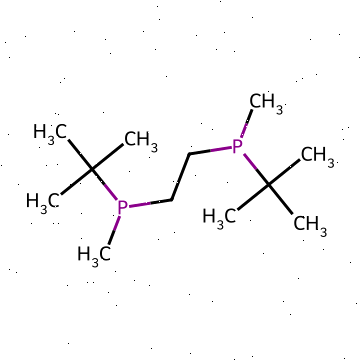 CP(CCP(C)C(C)(C)C)C(C)(C)C